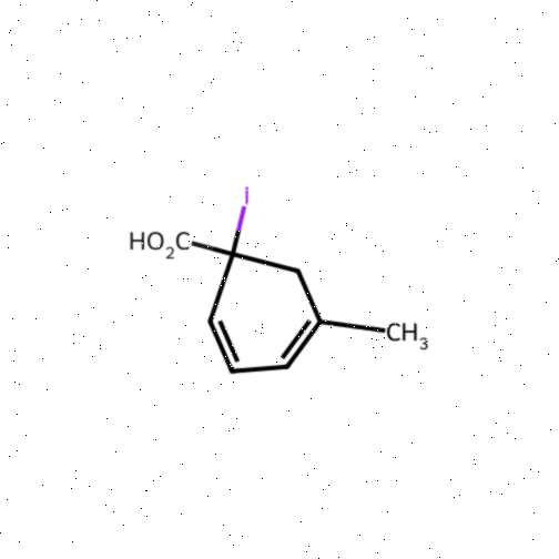 CC1=CC=CC(I)(C(=O)O)C1